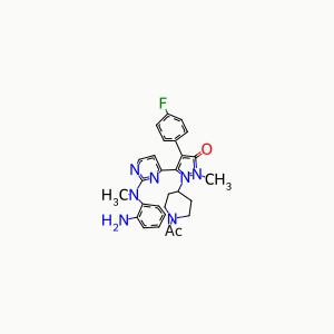 CC(=O)N1CCC(n2c(-c3ccnc(N(C)c4ccccc4N)n3)c(-c3ccc(F)cc3)c(=O)n2C)CC1